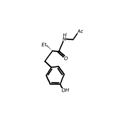 CC[C@@H](Cc1ccc(O)cc1)C(=O)NCC(C)=O